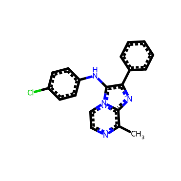 Cc1nccn2c(Nc3ccc(Cl)cc3)c(-c3ccccc3)nc12